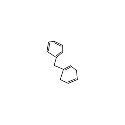 C1=CCC(Cc2ccccc2)=CC1